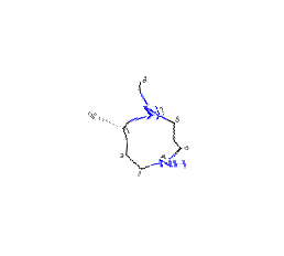 C[C@H]1CCNCCN1C